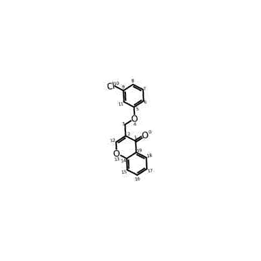 O=c1c(COc2cccc(Cl)c2)coc2ccccc12